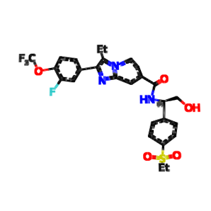 CCc1c(-c2ccc(OC(F)(F)F)c(F)c2)nc2cc(C(=O)N[C@@H](CO)c3ccc(S(=O)(=O)CC)cc3)ccn12